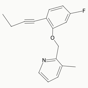 CCC#Cc1ccc(F)cc1OCc1ncccc1C